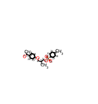 CC(=O)c1ccc(OC[C@H](C)COS(=O)(=O)c2ccc(C)cc2)cc1